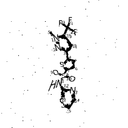 Cn1nc(-c2ccc(S(=O)(=O)Nc3n[c]cs3)s2)cc1C(F)(F)F